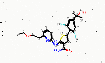 CCOCCc1cccc(Nc2sc(-c3c(F)cc(C(C)(C)O)cc3F)cc2C(N)=O)n1